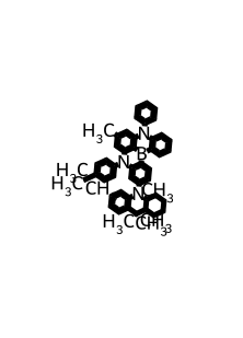 Cc1cc2c3c(c1)N(c1ccc(C(C)(C)C)cc1)c1cc(N4c5ccccc5C(C)(C)C5(C)CCCCC45C)ccc1B3c1ccccc1N2c1ccccc1